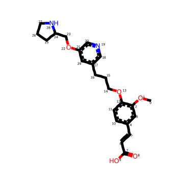 COc1cc(/C=C/C(=O)O)ccc1OCCCc1cncc(OCC2CCCN2)c1